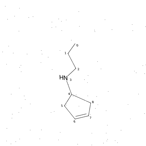 CCCNC1CC=CC1